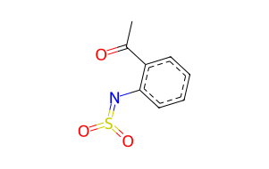 CC(=O)c1ccccc1N=S(=O)=O